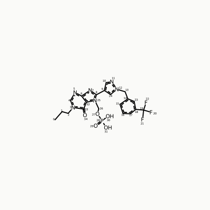 CCCn1cnc2nc(-c3cnn(Cc4cccc(C(F)(F)F)c4)c3)n(COP(=O)(O)O)c2c1=O